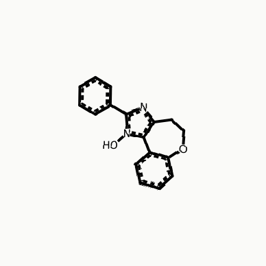 On1c(-c2ccccc2)nc2c1-c1ccccc1OCC2